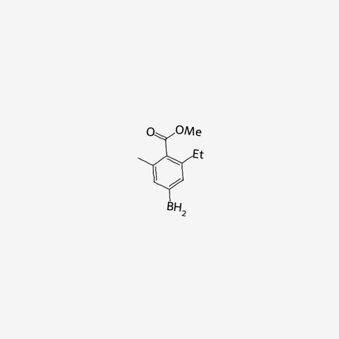 Bc1cc(C)c(C(=O)OC)c(CC)c1